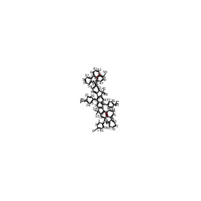 Cc1ccc(N(c2ccc3c(c2)C(C)(C)c2cc4c(-c5ccc(F)cc5)c5c(cc4c(-c4ccc(F)cc4)c2-3)C(C)(C)c2cc(N(c3ccc(C)cc3)c3ccccc3-c3ccccc3)ccc2-5)c2ccccc2-c2ccccc2)cc1